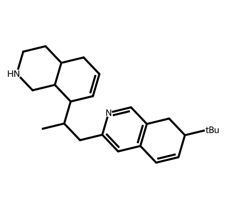 CC(Cc1cc2c(cn1)CC(C(C)(C)C)C=C2)C1C=CCC2CCNCC21